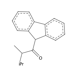 CC(C)C(C)C(=O)C1c2ccccc2-c2ccccc21